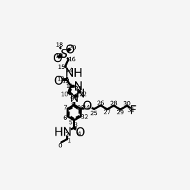 CCNC(=O)c1ccc(-n2cc(C(=O)NCCS(C)(=O)=O)nn2)c(OCCCCCCF)c1